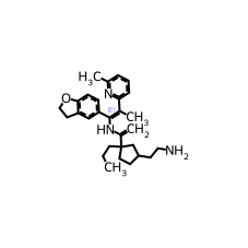 C=C(N/C(=C(\C)c1cccc(C)n1)c1ccc2c(c1)CCO2)C1(CCC)CCC(CCN)C1